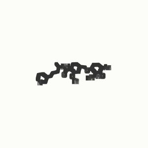 CCCc1c(OCc2ccc(C(=O)NC(C)CCCc3cccnc3)c(OCC)c2)ccc(C(C)=O)c1O